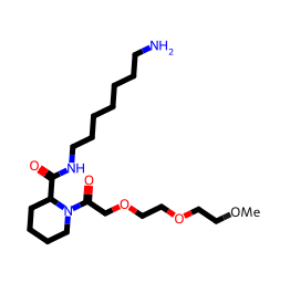 COCCOCCOCC(=O)N1CCCCC1C(=O)NCCCCCCCN